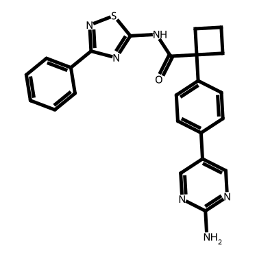 Nc1ncc(-c2ccc(C3(C(=O)Nc4nc(-c5ccccc5)ns4)CCC3)cc2)cn1